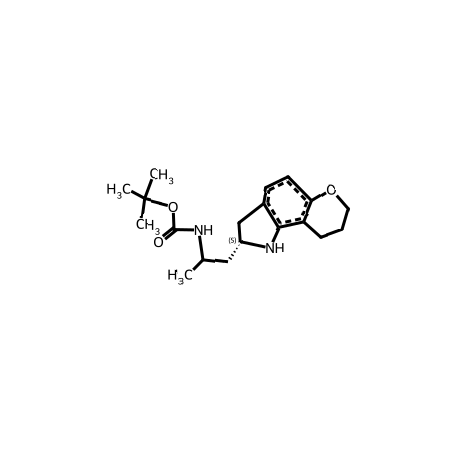 CC(C[C@@H]1Cc2ccc3c(c2N1)CCCO3)NC(=O)OC(C)(C)C